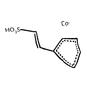 O=S(=O)(O)C=Cc1ccccc1.[Co]